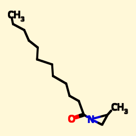 CCCCCCCCCCCC(=O)N1CC1C